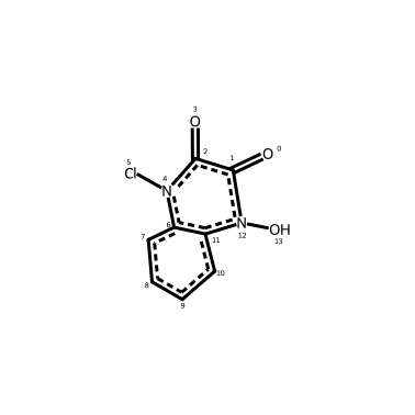 O=c1c(=O)n(Cl)c2ccccc2n1O